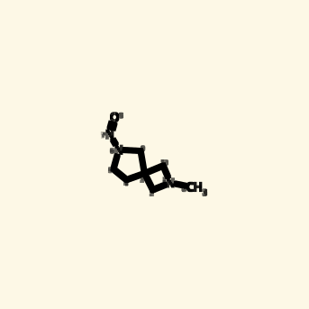 CN1CC2(CCN(N=O)C2)C1